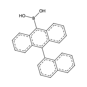 OB(O)c1c2ccccc2c(-c2cccc3ccccc23)c2ccccc12